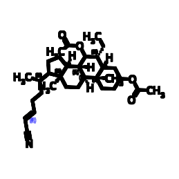 CC[C@H]1C(OC(C)=O)[C@@H]2[C@H](CC[C@]3(C)C([C@H](C)CC/C=C/C#N)CC[C@@H]23)[C@@]2(C)CCC(OC(C)=O)C[C@@H]12